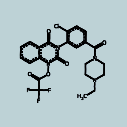 CCN1CCN(C(=O)c2ccc(Cl)c(-n3c(=O)c4ccccc4n(OC(=O)C(F)(F)F)c3=O)c2)CC1